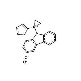 C1=CC[C]([Ti+2]2([CH]3c4ccccc4-c4ccccc43)[CH2][CH2]2)=C1.[Cl-].[Cl-]